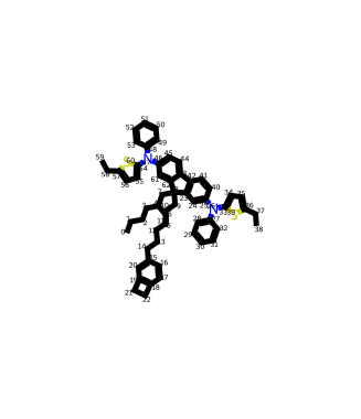 CCCCC(CC)CC1(CCCCCCc2ccc3c(c2)CC3)c2cc(N(c3ccccc3)c3ccc(CC)s3)ccc2-c2ccc(N(c3ccccc3)c3ccc(CC)s3)cc21